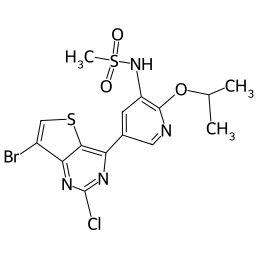 CC(C)Oc1ncc(-c2nc(Cl)nc3c(Br)csc23)cc1NS(C)(=O)=O